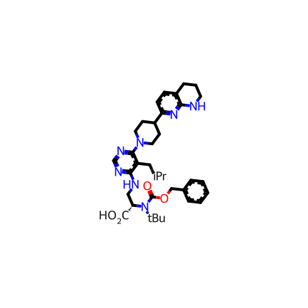 CC(C)Cc1c(NC[C@@H](C(=O)O)N(C(=O)OCc2ccccc2)C(C)(C)C)ncnc1N1CCC(c2ccc3c(n2)NCCC3)CC1